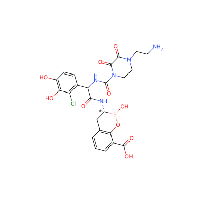 NCCN1CCN(C(=O)NC(C(=O)N[C@H]2Cc3cccc(C(=O)O)c3OB2O)c2ccc(O)c(O)c2Cl)C(=O)C1=O